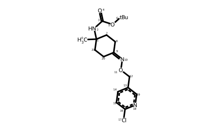 CC1(NC(=O)OC(C)(C)C)CCC(=NOCc2ccc(Cl)nc2)CC1